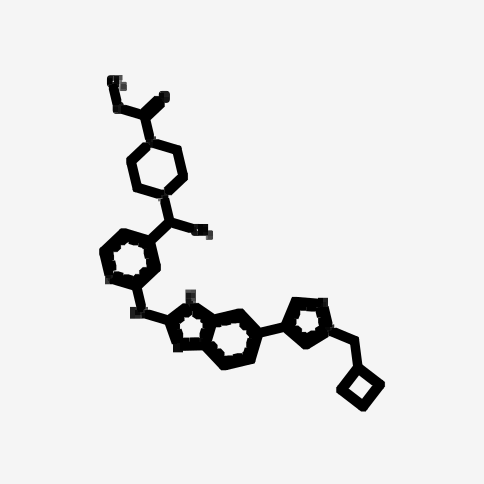 CC(c1ccnc(Nc2nc3ccc(-c4cnn(CC5CCC5)c4)cc3[nH]2)c1)N1CCN(C(=O)OC(F)(F)F)CC1